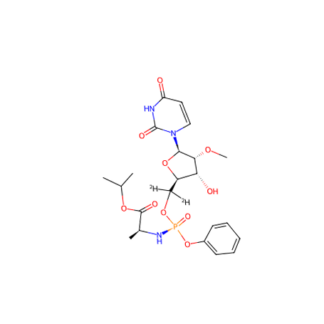 [2H]C([2H])(O[P@@](=O)(N[C@@H](C)C(=O)OC(C)C)Oc1ccccc1)[C@H]1O[C@@H](n2ccc(=O)[nH]c2=O)[C@H](OC)[C@@H]1O